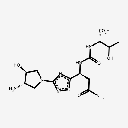 CC(O)[C@H](NC(=O)N[C@@H](CC(N)=O)c1nc(N2C[C@H](N)[C@@H](O)C2)no1)C(=O)O